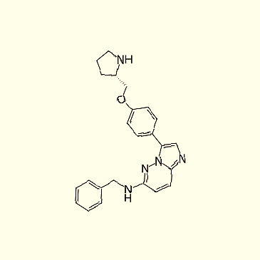 c1ccc(CNc2ccc3ncc(-c4ccc(OC[C@@H]5CCCN5)cc4)n3n2)cc1